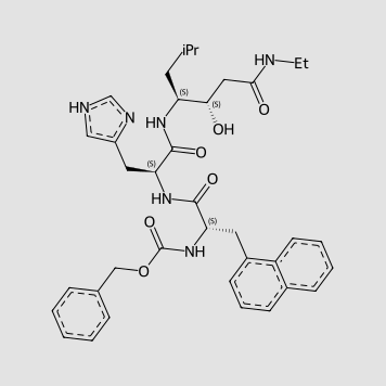 CCNC(=O)C[C@H](O)[C@H](CC(C)C)NC(=O)[C@H](Cc1c[nH]cn1)NC(=O)[C@H](Cc1cccc2ccccc12)NC(=O)OCc1ccccc1